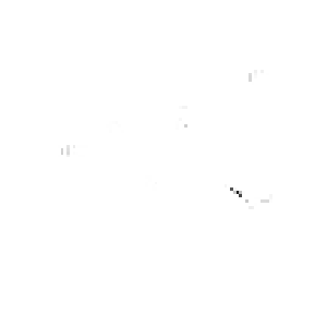 C=C[C@H](O)C(CC(C)C)NC(=O)OC(C)(C)C